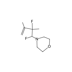 C=C(C)C(C)(F)C(F)N1CCOCC1